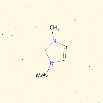 CNN1C=CN(C)C1